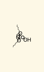 CCCCCCOC(=O)c1ccc(O)cc1C(=O)OCCCCCC